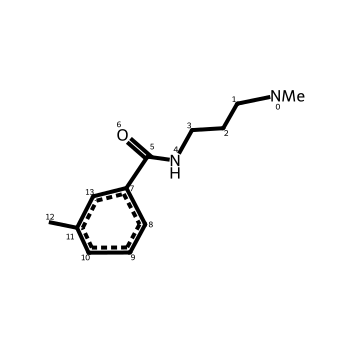 CNCCCNC(=O)c1cccc(C)c1